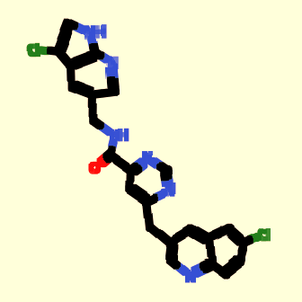 O=C(NCc1cnc2[nH]cc(Cl)c2c1)c1cc(Cc2cnc3ccc(Cl)cc3c2)ncn1